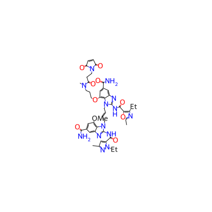 CCc1nc(C)oc1C(=O)Nc1nc2cc(C(N)=O)cc(OCCCN(C)C(=O)CCN3C(=O)C=CC3=O)c2n1C/C=C/Cn1c(NC(=O)c2cc(C)nn2CC)nc2cc(C(N)=O)cc(OC)c21